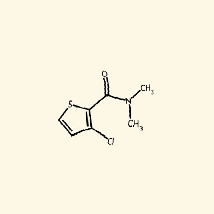 CN(C)C(=O)c1sccc1Cl